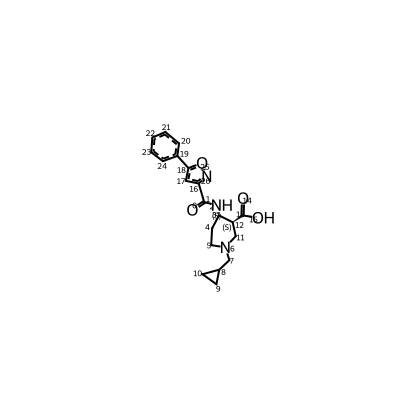 O=C(N[C@H]1CCN(CC2CC2)C[C@@H]1C(=O)O)c1cc(-c2ccccc2)on1